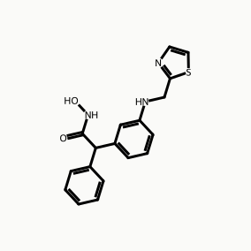 O=C(NO)C(c1ccccc1)c1cccc(NCc2nccs2)c1